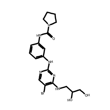 O=C(Nc1cccc(Nc2ncc(Br)c(NCC(O)CO)n2)c1)N1CCCC1